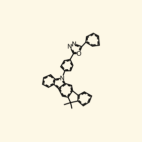 CC1(C)c2ccccc2-c2cc3c(cc21)c1ccccc1n3-c1ccc(-c2nnc(-c3ccccc3)o2)cc1